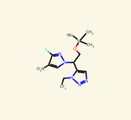 CC(C)(C)[Si](C)(C)OCC(c1cnnn1CC(F)(F)F)n1cc([N+](=O)[O-])c(F)n1